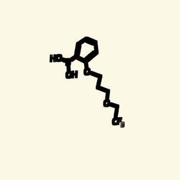 OB(O)c1ccccc1OCCCOCC(F)(F)F